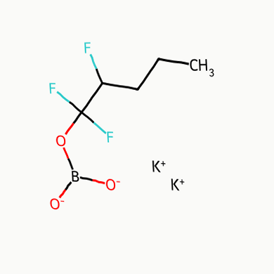 CCCC(F)C(F)(F)OB([O-])[O-].[K+].[K+]